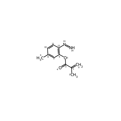 C=C(C)C(=O)Oc1cc(C)ccc1N=N